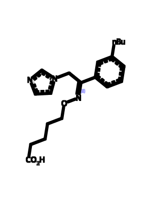 CCCCc1cccc(/C(Cn2ccnc2)=N/OCCCCC(=O)O)c1